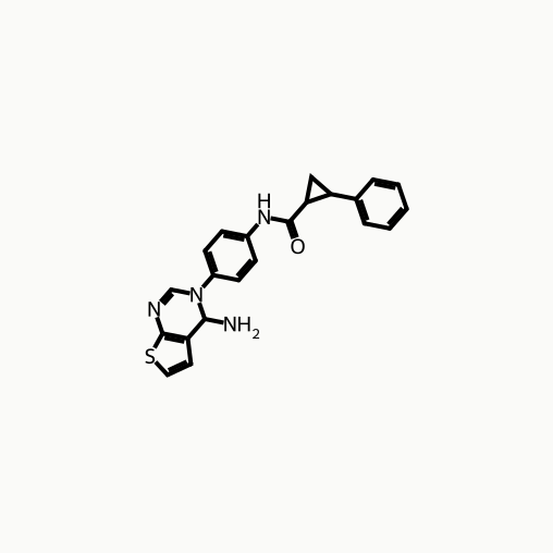 NC1c2ccsc2N=CN1c1ccc(NC(=O)C2CC2c2ccccc2)cc1